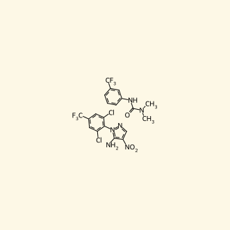 CN(C)C(=O)Nc1cccc(C(F)(F)F)c1.Nc1c([N+](=O)[O-])cnn1-c1c(Cl)cc(C(F)(F)F)cc1Cl